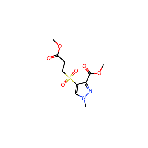 COC(=O)CCS(=O)(=O)c1cn(C)nc1C(=O)OC